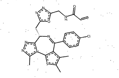 C=CC(=O)NCc1nnc(C[C@@H]2N=C(c3ccc(Cl)cc3)c3c(sc(C)c3C)-n3c(C)nnc32)o1